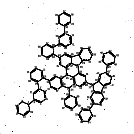 C1=CCC(c2cccc(-c3ccccc3-c3ccc4c(c3)B3c5c(cc(-n6c7cc(-c8ccccc8)ccc7c7ccc(-c8ccccc8)cc76)cc5-n5c6ccccc6c6cc(-c7ccccc7-c7cccc(-c8ccccc8)c7)cc3c65)N4c3ccccc3)c2)C=C1